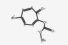 CC(C)c1ccc(OC(=O)OC(C)(C)C)c(=O)cc1